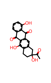 CC(=O)C1(O)CCc2c(cc3c(c2O)C(=O)c2cccc(O)c2C3=O)C1